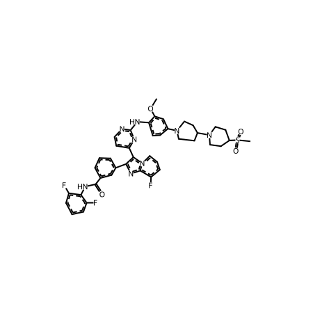 COc1cc(N2CCC(N3CCC(S(C)(=O)=O)CC3)CC2)ccc1Nc1nccc(-c2c(-c3cccc(C(=O)Nc4c(F)cccc4F)c3)nc3c(F)cccn23)n1